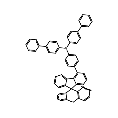 c1ccc(-c2ccc(N(c3ccc(-c4ccccc4)cc3)c3ccc(-c4cccc5c4-c4ccccc4C54c5ccccc5Sc5ccc6ccccc6c54)cc3)cc2)cc1